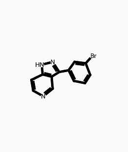 Brc1cccc(-c2n[nH]c3ccncc23)c1